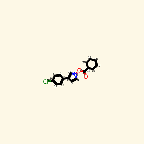 O=C(On1ccc(-c2ccc(Cl)cc2)c1)C1CCCCC1